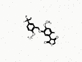 COc1ccc(C(F)(F)F)cc1COc1cc(C2C(=O)CSC2=O)c(F)cc1OC